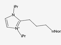 CCCCCCCCCCCCc1n(C(C)C)cc[n+]1C(C)C